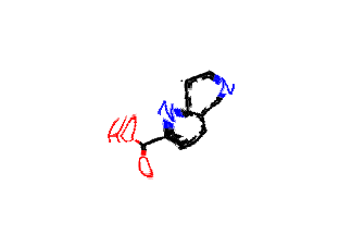 O=C(O)c1ccc2cnc[c]c2n1